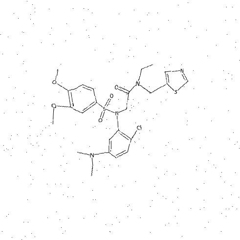 CCN(Cc1cncs1)C(=O)CN(c1cc(N(C)C)ccc1Cl)S(=O)(=O)c1ccc(OC)c(OC)c1